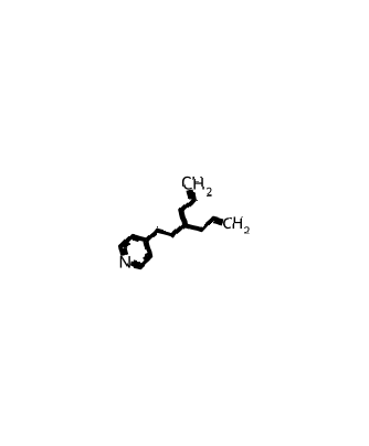 C=CCC(C[CH]c1ccncc1)CC=C